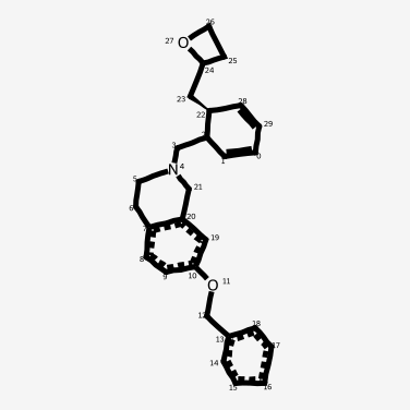 C1=CC(CN2CCc3ccc(OCc4ccccc4)cc3C2)[C@@H](CC2CCO2)C=C1